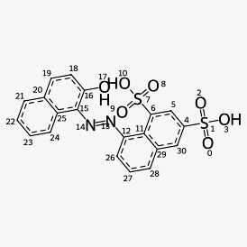 O=S(=O)(O)c1cc(S(=O)(=O)O)c2c(N=Nc3c(O)ccc4ccccc34)cccc2c1